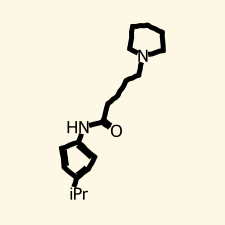 CC(C)c1ccc(NC(=O)CCCCN2CCCCC2)cc1